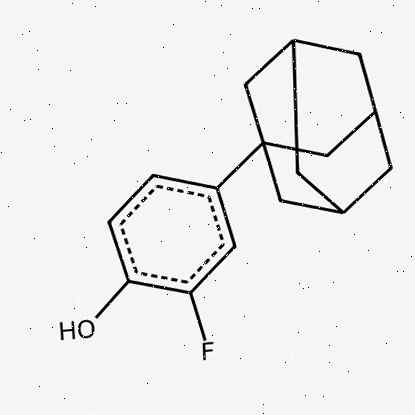 Oc1ccc(C23CC4CC(CC(C4)C2)C3)cc1F